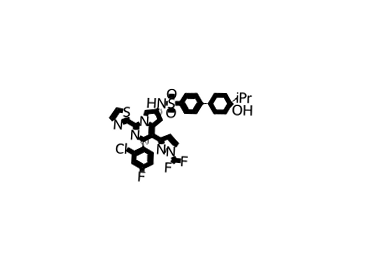 CC(C)[C@]1(O)CC[C@H](c2ccc(S(=O)(=O)N[C@H]3CC4=C(c5ccn(C(F)F)n5)[C@H](c5ccc(F)cc5Cl)N=C(c5nccs5)N4C3)cc2)CC1